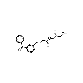 O=C(CCCc1cccc(C(=O)c2ccccc2)c1)OCC(O)CO